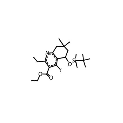 CCOC(=O)c1c(CC)nc2c(c1I)C(O[Si](C)(C)C(C)(C)C)CC(C)(C)C2